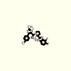 Cc1nc(C(=O)N2CCCC2(C)c2nc3c(F)c(F)ccc3[nH]2)c(-c2ccc(Cl)cc2)s1